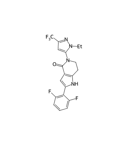 CCn1nc(C(F)(F)F)cc1N1CCc2[nH]c(-c3c(F)cccc3F)cc2C1=O